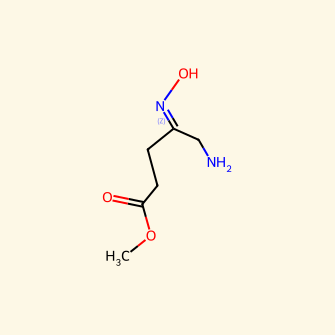 COC(=O)CC/C(CN)=N/O